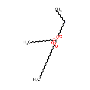 CCCCCCCC/C=C\CCCCCCCC(=O)OC[C@H](COC(=O)CCCCCCCCCCCCCCCCCCCCC)OC(=O)CCCCCCCCCCCCC